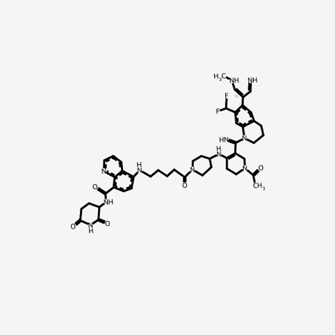 CN/C=C(\C=N)c1cc2c(cc1C(F)F)N(C(=N)C1=C(NC3CCN(C(=O)CCCCNc4ccc(C(=O)NC5CCC(=O)NC5=O)c5ncccc45)CC3)CCN(C(C)=O)C1)CCC2